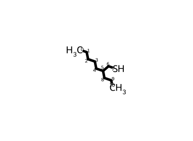 CCCCCC(CS)CCC